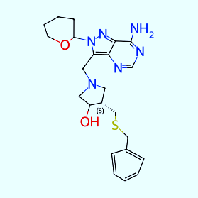 Nc1ncnc2c(CN3CC(O)[C@@H](CSCc4ccccc4)C3)n(C3CCCCO3)nc12